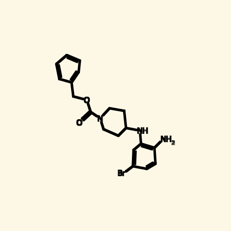 Nc1ccc(Br)cc1NC1CCN(C(=O)OCc2ccccc2)CC1